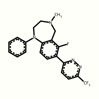 CN1CCN(c2ccccc2)c2ccc(-c3ccc(C(F)(F)F)nn3)c(F)c2C1